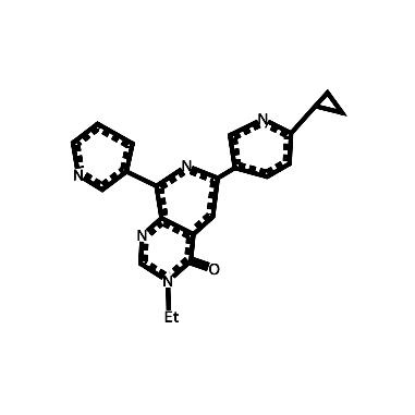 CCn1cnc2c(-c3cccnc3)nc(-c3ccc(C4CC4)nc3)cc2c1=O